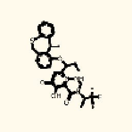 CCC(Oc1cccc2c1[C@H](C)c1ccccc1SC2)c1cc(=O)c(O)c2n1NCN(C(C)C(F)(F)F)C2=O